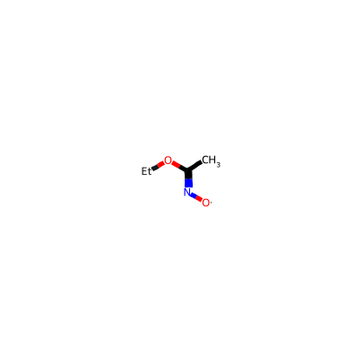 CCOC(C)=N[O]